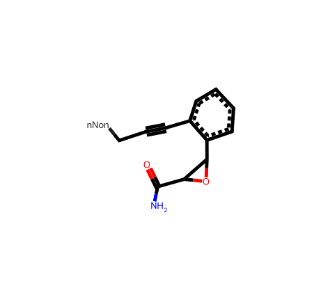 CCCCCCCCCCC#Cc1ccccc1C1OC1C(N)=O